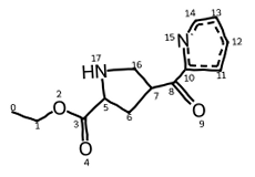 CCOC(=O)C1CC(C(=O)c2ccccn2)CN1